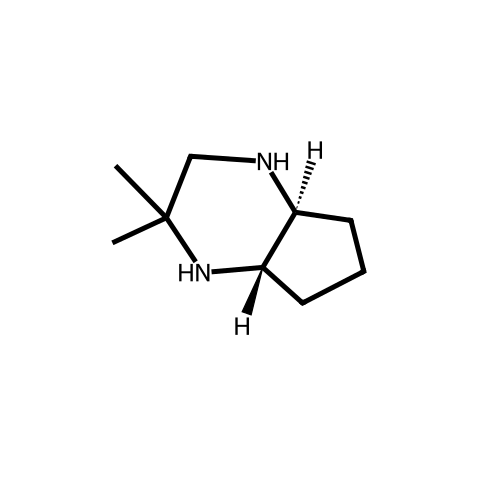 CC1(C)CN[C@H]2CCC[C@@H]2N1